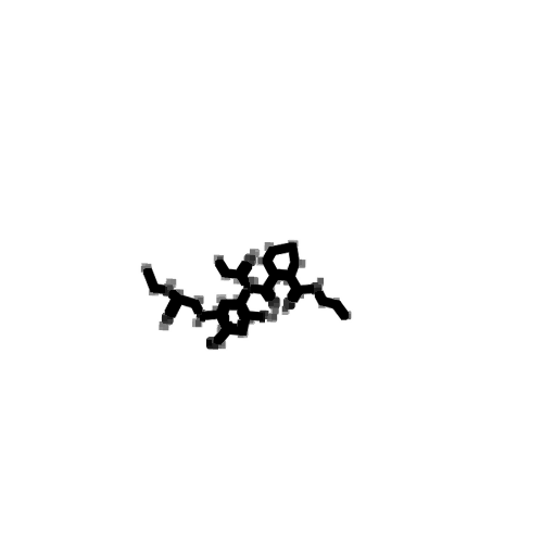 CCCOC(=O)C1=C(C(=O)N(C(=O)CC)c2cc(SCC(=O)OCC)c(Cl)cc2F)CCCC1